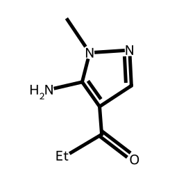 CCC(=O)c1cnn(C)c1N